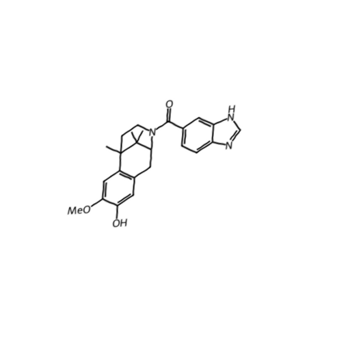 COc1cc2c(cc1O)CC1N(C(=O)c3ccc4nc[nH]c4c3)CCC2(C)C1(C)C